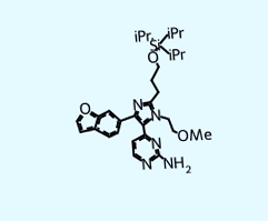 COCCn1c(CCCO[Si](C(C)C)(C(C)C)C(C)C)nc(-c2ccc3ccoc3c2)c1-c1ccnc(N)n1